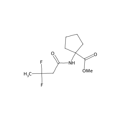 COC(=O)C1(NC(=O)CC(C)(F)F)CCCC1